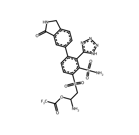 NC(CS(=O)(=O)c1ccc(-c2ccc3c(c2)C(=O)NC3)c(-c2nnn[nH]2)c1S(N)(=O)=O)OC(=O)C(F)(F)F